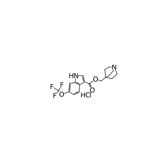 Cl.O=C(OCC12CCN(CC1)CC2)c1c[nH]c2cc(OC(F)(F)F)ccc12